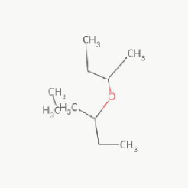 CC.CCC(C)OC(C)CC